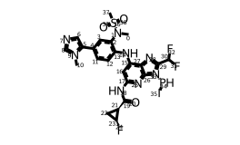 CN(c1cc(-c2cncn2C)ccc1Nc1cc(NC(=O)[C@@H]2C[C@@H]2F)nc2c1nc(C(F)F)n2PI)S(C)(=O)=O